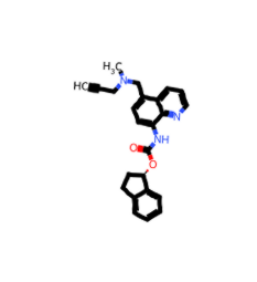 C#CCN(C)Cc1ccc(NC(=O)O[C@H]2CCc3ccccc32)c2ncccc12